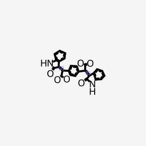 O=C1Nc2ccccc2/C1=C1/C(=O)Oc2cc3c(cc21)OC(=O)/C3=C1/C(=O)Nc2ccccc21